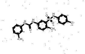 Cc1cccc(NC(=O)Nc2ccc(C)c(S(=O)(=O)Nc3ccc(Cl)cc3)c2)c1